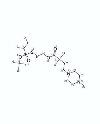 CCC(C)P(=O)(OC(C)(C)C)SCCOC(=O)C(C)(C)CCN1CCN(C)CC1